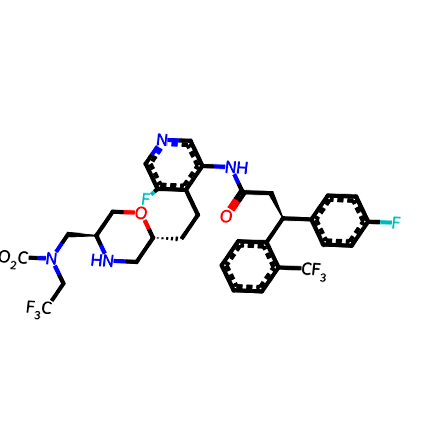 O=C(C[C@@H](c1ccc(F)cc1)c1ccccc1C(F)(F)F)Nc1cncc(F)c1CC[C@@H]1CN[C@@H](CN(CC(F)(F)F)C(=O)O)CO1